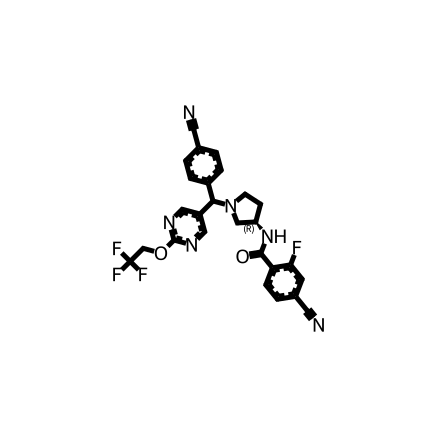 N#Cc1ccc(C(c2cnc(OCC(F)(F)F)nc2)N2CC[C@@H](NC(=O)c3ccc(C#N)cc3F)C2)cc1